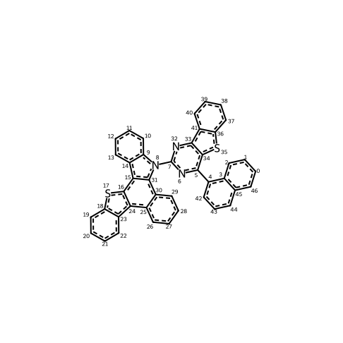 c1ccc2c(-c3nc(-n4c5ccccc5c5c6sc7ccccc7c6c6ccccc6c54)nc4c3sc3ccccc34)cccc2c1